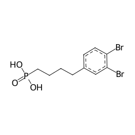 O=P(O)(O)CCCCc1ccc(Br)c(Br)c1